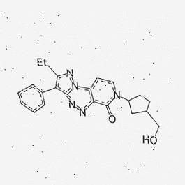 CCc1nn2c(nnc3c(=O)n(C4CCC(CO)C4)ccc32)c1-c1ccccc1